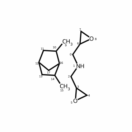 C(NCC1CO1)C1CO1.CC1CC2CC(C)C1C2